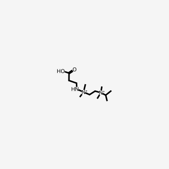 CC(C)[N+](C)(C)CC[N+](C)(C)NCCC(=O)O